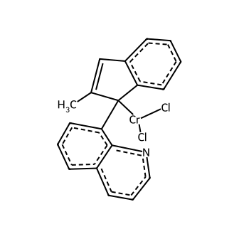 CC1=Cc2ccccc2[C]1(c1cccc2cccnc12)[Cr]([Cl])[Cl]